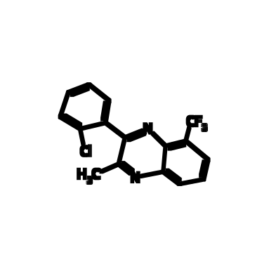 Cc1nc2cccc(C(F)(F)F)c2nc1-c1ccccc1Cl